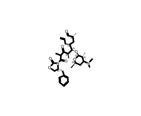 C=CC[C@@H](C[C@@H](C)C=O)[C@H](O[C@@H]1O[C@H](C)CC(N(C)C)[C@H]1C)[C@@H](C)C(=O)C(C)C(=O)N1C(=O)OC[C@H]1Cc1ccccc1